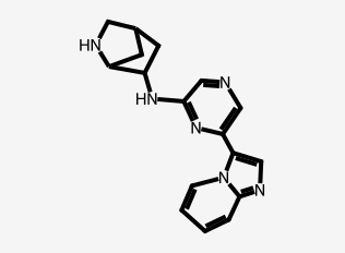 c1ccn2c(-c3cncc(NC4CC5CNC4C5)n3)cnc2c1